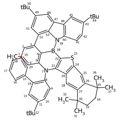 Cc1cc2c3c(c1)N(c1ccc(C(C)(C)C)cc1-c1ccccc1)c1c(sc4cc5c(cc14)C(C)(C)CCC5(C)C)B3n1c3ccc(C(C)(C)C)cc3c3cc(C(C)(C)C)cc-2c31